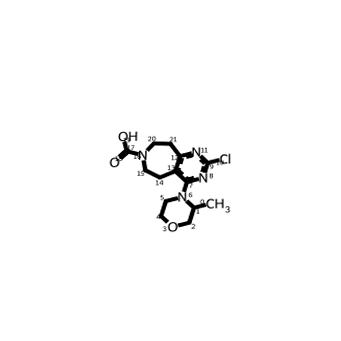 CC1COCCN1c1nc(Cl)nc2c1CCN(C(=O)O)CC2